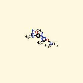 COc1cc(Nc2nc(C)cc(OCCN(C)C)n2)ccc1-c1nc(C)c[nH]1